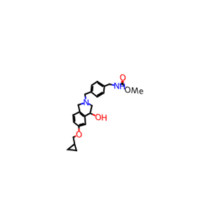 COC(=O)NCc1ccc(CN2Cc3ccc(OCC4CC4)cc3C(O)C2)cc1